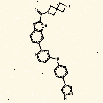 O=C(c1cc2ccc(-c3nccc(Nc4ccc(-c5cn[nH]c5)cc4)n3)cc2[nH]1)N1CC2(CNC2)C1